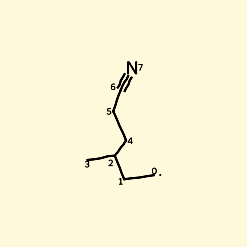 [CH2]CC(C)CCC#N